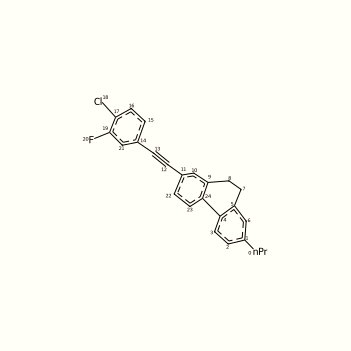 CCCc1ccc2c(c1)CCc1cc(C#Cc3ccc(Cl)c(F)c3)ccc1-2